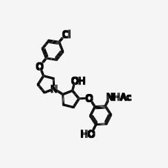 CC(=O)Nc1ccc(O)cc1OC1CCC(N2CCC(Oc3ccc(Cl)cc3)C2)C1O